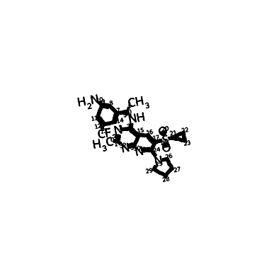 Cc1nc(N[C@H](C)c2cc(N)cc(C(F)(F)F)c2)c2cc(S(=O)(=O)C3CC3)c(N3CCCC3)nc2n1